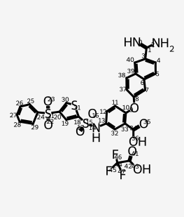 N=C(N)c1ccc2cc(Oc3ccc(NS(=O)(=O)c4cc(S(=O)(=O)c5ccccc5)cs4)cc3C(=O)O)ccc2c1.O=C(O)C(F)(F)F